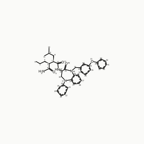 CCC[C@H](C(N)=O)[C@@H](CC(C)C)C(=O)NC1CN(c2ccccc2)c2ccccc2N(Cc2cccc(Oc3ccccc3)c2)C1=O